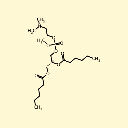 CCCCCC(=O)OC[C@H](COP(=O)(OC)OCCN(C)C)OC(=O)CCCCC